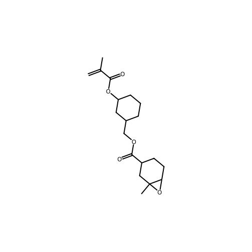 C=C(C)C(=O)OC1CCCC(COC(=O)C2CCC3OC3(C)C2)C1